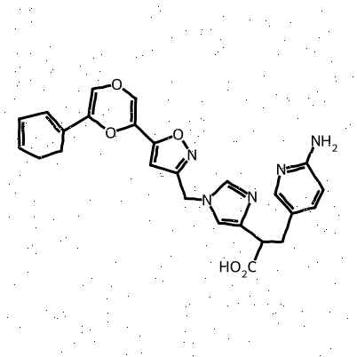 Nc1ccc(CC(C(=O)O)c2cn(Cc3cc(C4=COC=C(C5=CC=CCC5)O4)on3)cn2)cn1